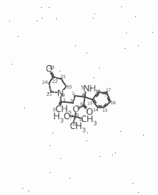 C=C(CCC(N)(C(=O)OC(C)(C)C)c1ccccc1)N1CCC(=O)CC1